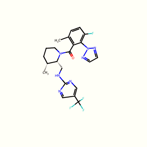 Cc1ccc(F)c(-n2nccn2)c1C(=O)N1CCC[C@@H](C)[C@H]1CNc1ncc(C(F)(F)F)cn1